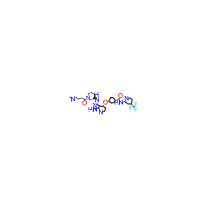 CN(C)CCCC(=O)N1CCC[C@@H](Nc2n[nH]c3nccc(Oc4ccc(C(=O)Nc5cc(C(F)(F)F)ccn5)cc4)c23)C1